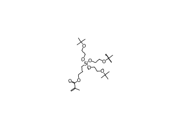 C=C(C)C(=O)OCCC[Si](OCCOC(C)(C)C)(OCCOC(C)(C)C)OCCOC(C)(C)C